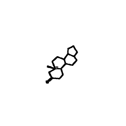 C[C@@]12CCC3C4CCCC4CCC3C1CCC(=O)C2